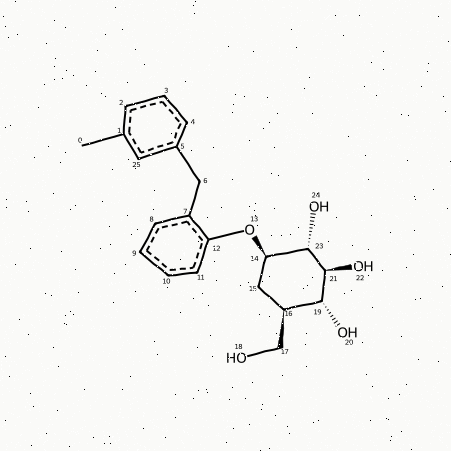 Cc1cccc(Cc2ccccc2O[C@@H]2C[C@H](CO)[C@@H](O)[C@H](O)[C@H]2O)c1